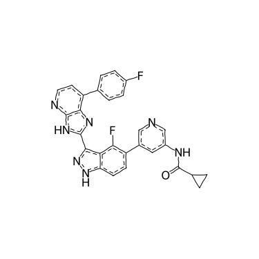 O=C(Nc1cncc(-c2ccc3[nH]nc(-c4nc5c(-c6ccc(F)cc6)ccnc5[nH]4)c3c2F)c1)C1CC1